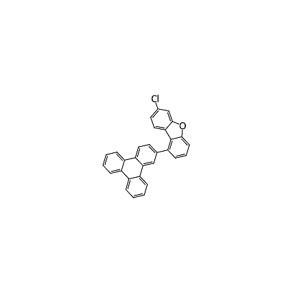 Clc1ccc2c(c1)oc1cccc(-c3ccc4c5ccccc5c5ccccc5c4c3)c12